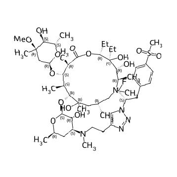 CC[C@H]1OC(=O)[C@H](C)[C@@H](O[C@H]2C[C@@](C)(OC)[C@@H](O)[C@H](C)O2)[C@H](C)[C@@H](O[C@@H]2O[C@H](C)C[C@H](N(C)CCc3cn([C@H](CF)Cc4ccc(S(C)(=O)=O)cc4)nn3)[C@H]2O)[C@](C)(O)C[C@@H](C)CN(C)[C@H](C)[C@@H](O)[C@@]1(O)CC